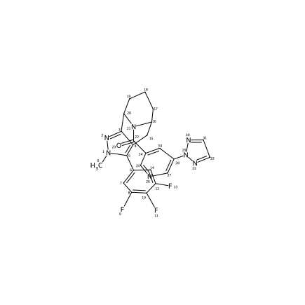 Cn1nc2c(c1-c1cc(F)c(F)c(F)c1)CC1CCCC2N1C(=O)c1cncc(-n2nccn2)c1